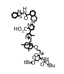 Cc1c(-c2ccc(N3CCc4cccc(C(=O)Nc5nc6ccccc6s5)c4C3)nc2C(=O)O)cnn1CC12CC3(C)CC(C)(C1)CC(OCCN(C)C(=O)[C@H](CC(=O)OC(C)(C)C)NC(=O)OC(C)(C)C)(C3)C2